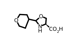 O=C(O)[C@@H]1COC(C2CCOCC2)N1